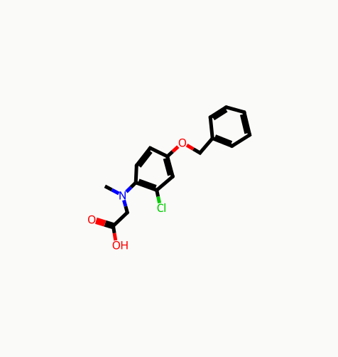 CN(CC(=O)O)c1ccc(OCc2ccccc2)cc1Cl